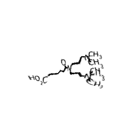 CN(C)CCCN(CCCN(C)C)C(=O)CCCCC(=O)O